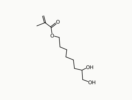 C=C(C)C(=O)OCCCCCCC(O)CO